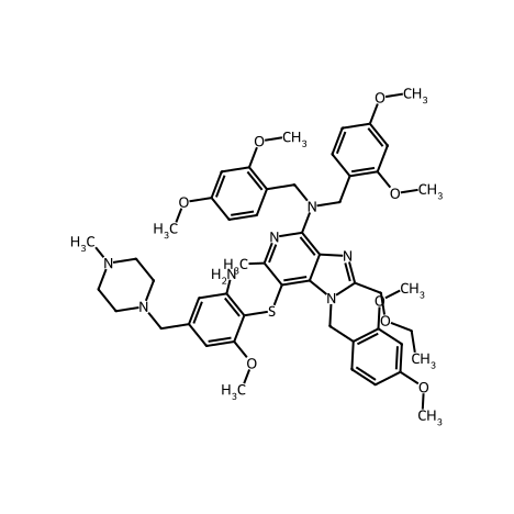 CCOCc1nc2c(N(Cc3ccc(OC)cc3OC)Cc3ccc(OC)cc3OC)nc(C)c(Sc3c(N)cc(CN4CCN(C)CC4)cc3OC)c2n1Cc1ccc(OC)cc1OC